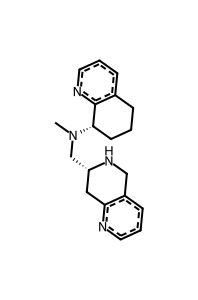 CN(C[C@H]1Cc2ncccc2CN1)[C@H]1CCCc2cccnc21